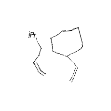 C=CC1CCCCC1.C=CCC(C)C